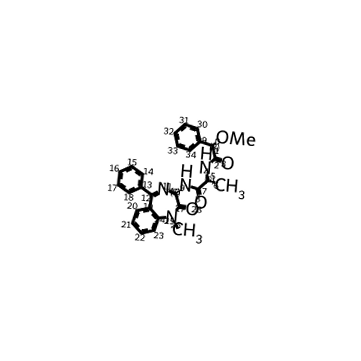 CO[C@@H](C(=O)N[C@@H](C)C(=O)N[C@H]1N=C(c2ccccc2)c2ccccc2N(C)C1=O)c1ccccc1